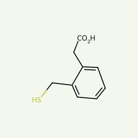 O=C(O)Cc1ccccc1CS